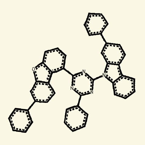 c1ccc(-c2ccc3c(c2)oc2cccc(-c4nc(-c5ccccc5)nc(-n5c6ccccc6c6ccc(-c7ccccc7)cc65)n4)c23)cc1